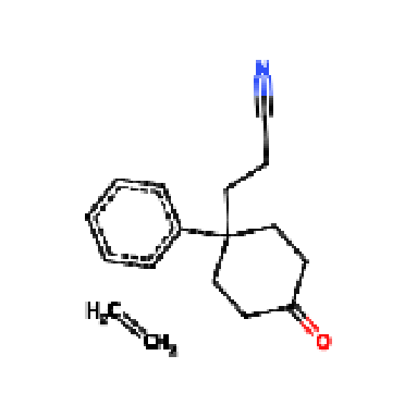 C=C.N#CCCC1(c2ccccc2)CCC(=O)CC1